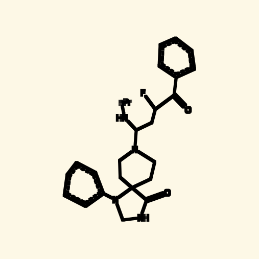 CCCNC(CC(F)C(=O)c1ccccc1)N1CCC2(CC1)C(=O)NCN2c1ccccc1